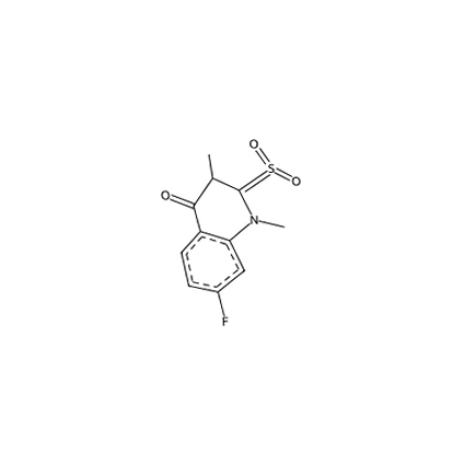 CC1C(=O)c2ccc(F)cc2N(C)C1=S(=O)=O